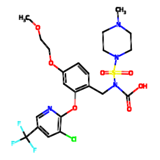 COCCOc1ccc(CN(C(=O)O)S(=O)(=O)N2CCN(C)CC2)c(Oc2ncc(C(F)(F)F)cc2Cl)c1